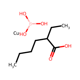 CCCCC(CC)C(=O)O.OB(O)O.[Cu]